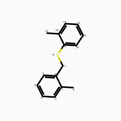 Cc1ccccc1CSc1ccccc1C